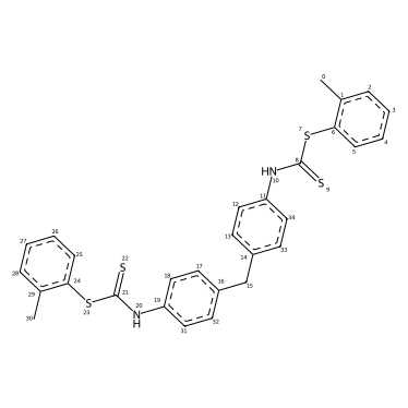 Cc1ccccc1SC(=S)Nc1ccc(Cc2ccc(NC(=S)Sc3ccccc3C)cc2)cc1